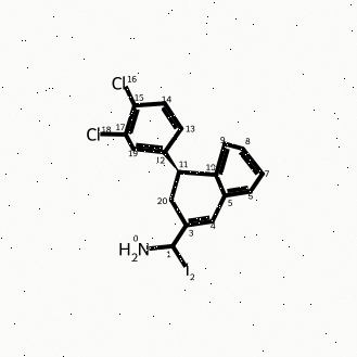 NC(I)C1=Cc2ccccc2[C@H](c2ccc(Cl)c(Cl)c2)C1